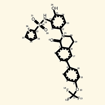 O=C1c2ccc(-c3ccc(OC(F)(F)F)cc3)cc2CCN1c1ccc(O)c(NS(=O)(=O)c2cccs2)c1